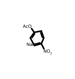 CC(=O)Oc1ccc([N+](=O)[O-])cc1.[NaH]